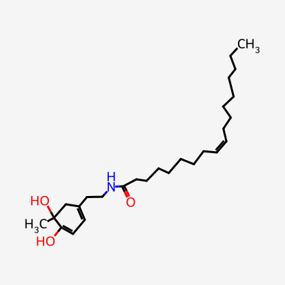 CCCCCCCC/C=C\CCCCCCCC(=O)NCCC1=CC=C(O)C(C)(O)C1